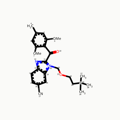 COc1cc(C)cc(OC)c1C(=O)c1nc2ccc(C#N)cc2n1COCC[Si](C)(C)C